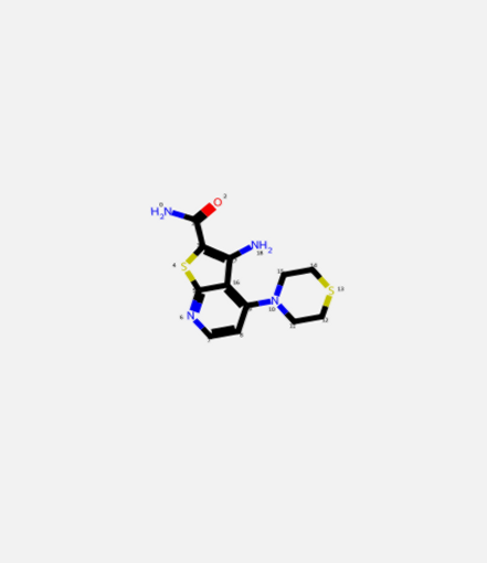 NC(=O)c1sc2nccc(N3CCSCC3)c2c1N